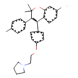 COc1ccc2c(c1)OC(C)(C)C(c1ccc(C)cc1)=C2c1ccc(OCCN2CCCC2)cc1